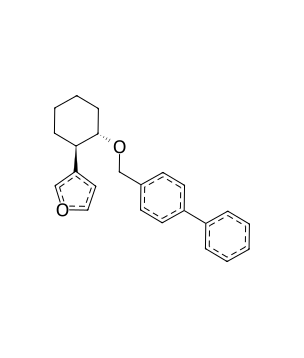 c1ccc(-c2ccc(CO[C@H]3CCCC[C@@H]3c3ccoc3)cc2)cc1